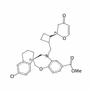 COC(=O)c1ccc2c(c1)N(CC1CCC1[C@H]1CC(=O)C=CO1)C[C@@]1(CCCc3cc(Cl)ccc31)CO2